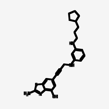 Nc1nc2c(O)cc(C#CCNc3cccc(NCCCC4CCCC4)c3)cc2s1